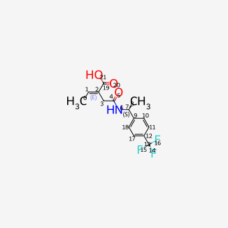 C/C=C(\CC(=O)N[C@@H](C)c1ccc(C(F)(F)F)cc1)C(=O)O